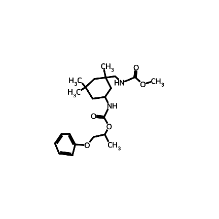 COC(=O)NCC1(C)CC(NC(=O)OC(C)COc2ccccc2)CC(C)(C)C1